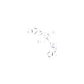 CC(C)CN(CC(C)(C)CCN/C(=N/C#N)Oc1ccccc1)S(=O)(=O)c1ccc2c(c1)OCO2